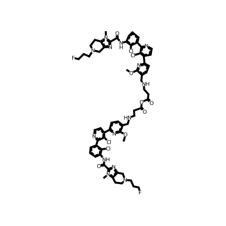 COc1nc(-c2ccnc(-c3cccc(NC(=O)c4nc5c(n4C)CCN(CCCF)C5)c3Cl)c2Cl)ccc1CNCCC(=O)OC(=O)CCNCc1ccc(-c2ccnc(-c3cccc(NC(=O)c4nc5c(n4C)CCN(CCCF)C5)c3Cl)c2Cl)nc1OC